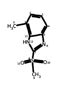 Cc1cccc2nc(S(C)(=O)=O)[nH]c12